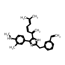 C=Cc1cccc(Cc2nc(-c3ccc(NC)c(C)c3)c(C(=C)/C=C\C=C(C)C)[nH]2)c1